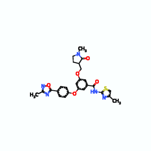 Cc1csc(NC(=O)c2cc(OCC3CCN(C)C3=O)cc(Oc3ccc(-c4nc(C)no4)cc3)c2)n1